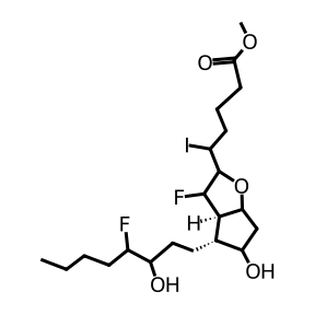 CCCCC(F)C(O)CC[C@H]1C(O)CC2OC(C(I)CCCC(=O)OC)C(F)[C@@H]21